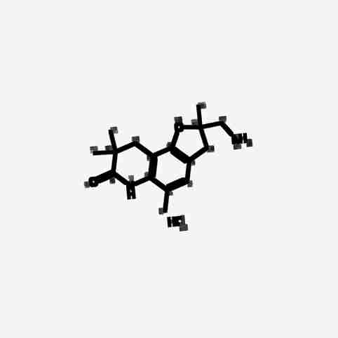 Cc1cc2c(c3c1NC(=O)C(C)(C)C3)OC(C)(CN)C2.Cl